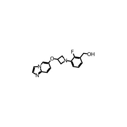 OCc1cccc(N2CC(Oc3ccc4nccn4c3)C2)c1F